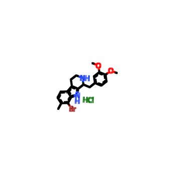 COc1ccc(CC2NCCc3c2[nH]c2c(Br)c(C)ccc32)cc1OC.Cl